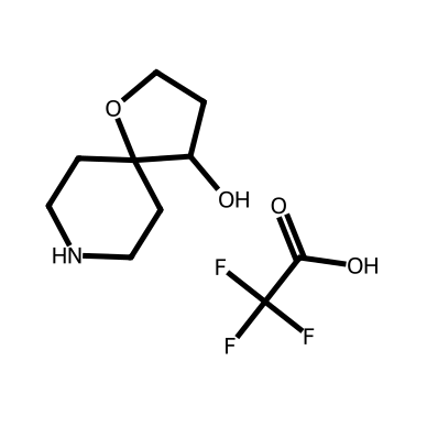 O=C(O)C(F)(F)F.OC1CCOC12CCNCC2